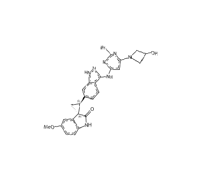 COc1ccc2c(c1)[C@]1(C[C@H]1c1ccc3c(Nc4cc(N5CC(O)C5)nc(C(C)C)n4)n[nH]c3c1)C(=O)N2